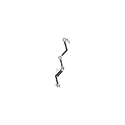 [3H]/C=N/OCC